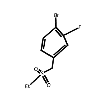 CCS(=O)(=O)Cc1ccc(Br)c(F)c1